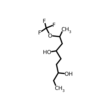 CCC(O)CCC(O)CC(C)OC(F)(F)F